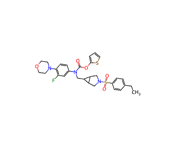 CCc1ccc(S(=O)(=O)N2CC3C(CN(C(=O)Oc4cccs4)c4ccc(N5CCOCC5)c(F)c4)C3C2)cc1